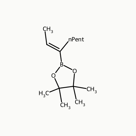 CC=C(CCCCC)B1OC(C)(C)C(C)(C)O1